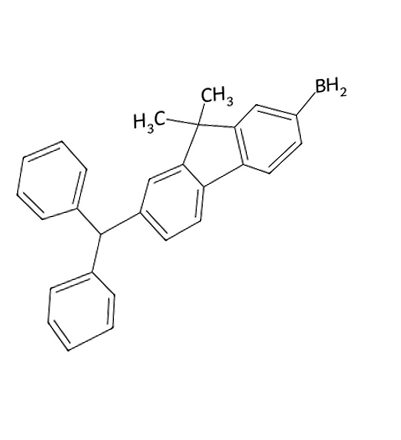 Bc1ccc2c(c1)C(C)(C)c1cc(C(c3ccccc3)c3ccccc3)ccc1-2